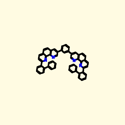 c1ccc(-c2ccccc2-c2ccc3ccc4cc(-c5cccc(-c6cnc7c(ccc8ccc(-c9ccccc9-c9ccccc9)nc87)c6)c5)cnc4c3n2)cc1